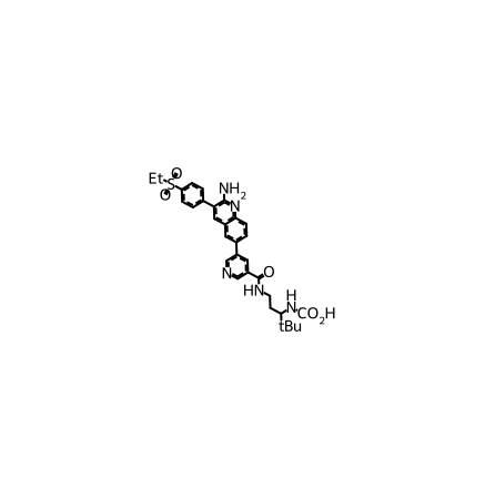 CCS(=O)(=O)c1ccc(-c2cc3cc(-c4cncc(C(=O)NCCC(NC(=O)O)C(C)(C)C)c4)ccc3nc2N)cc1